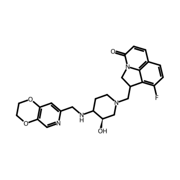 O=c1ccc2ccc(F)c3c2n1CC3CN1CCC(NCc2cc3c(cn2)OCCO3)[C@H](O)C1